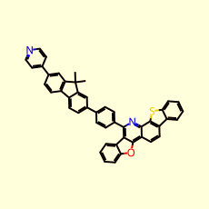 CC1(C)c2cc(-c3ccncc3)ccc2-c2ccc(-c3ccc(-c4nc5c(ccc6c7ccccc7sc65)c5oc6ccccc6c45)cc3)cc21